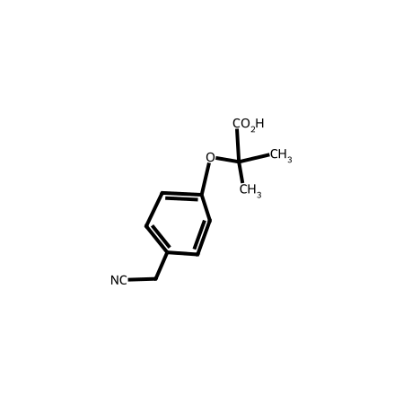 CC(C)(Oc1ccc(CC#N)cc1)C(=O)O